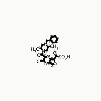 C[C@@H]1CN(Cc2ccccc2)[C@@H](C)CN1C(=O)c1nc2c(C(=O)C(=O)O)scc2nc1Cl